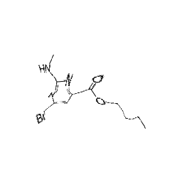 CCCCOC(=O)c1cc(Br)nc(NC)n1